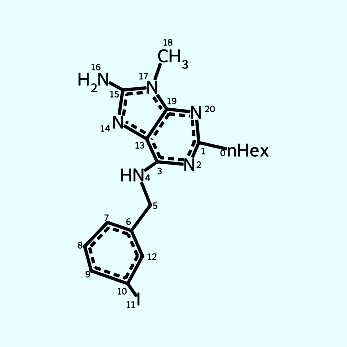 CCCCCCc1nc(NCc2cccc(I)c2)c2nc(N)n(C)c2n1